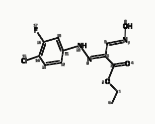 CCOC(=O)C(/C=N/O)=N/Nc1ccc(Cl)c(F)c1